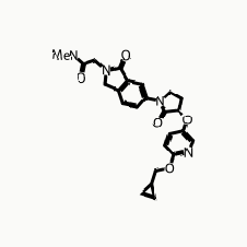 CNC(=O)CN1Cc2ccc(N3CC[C@@H](Oc4ccc(OCC5CC5)nc4)C3=O)cc2C1=O